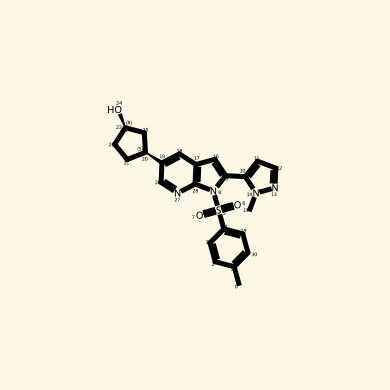 Cc1ccc(S(=O)(=O)n2c(-c3ccnn3C)cc3cc([C@H]4CC[C@@H](O)C4)cnc32)cc1